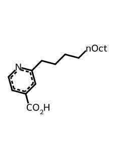 CCCCCCCCCCCCc1cc(C(=O)O)ccn1